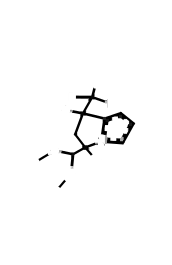 COC(OC)C1(O)CC(O)(C(F)(F)F)c2cccn21